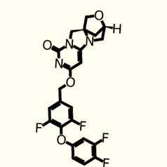 O=c1nc(OCc2cc(F)c(Oc3ccc(F)c(F)c3)c(F)c2)cc2n1C[C@]13CO[C@H](CN21)C3